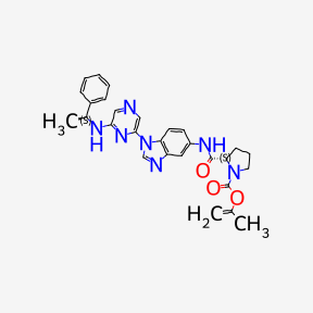 C=C(C)OC(=O)N1CCC[C@H]1C(=O)Nc1ccc2c(c1)ncn2-c1cncc(N[C@@H](C)c2ccccc2)n1